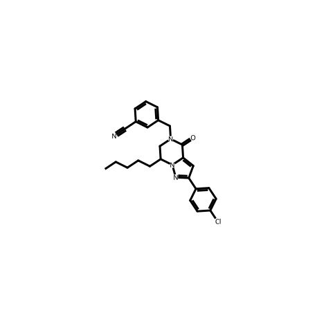 CCCCCC1CN(Cc2cccc(C#N)c2)C(=O)c2cc(-c3ccc(Cl)cc3)nn21